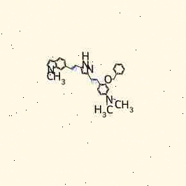 CCN(CC)c1ccc(/C=C/c2cc(/C=C/c3ccc4ccn(C)c4c3)[nH]n2)c(OCc2ccccc2)c1